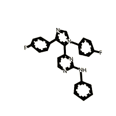 Fc1ccc(-c2ncn(-c3ccc(F)cc3)c2-c2ccnc(Nc3ccccc3)n2)cc1